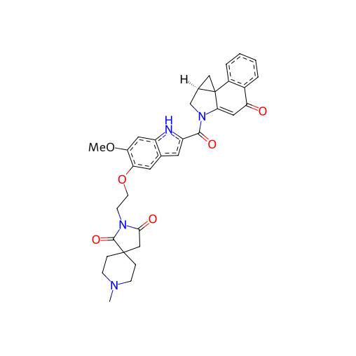 COc1cc2[nH]c(C(=O)N3C[C@H]4CC45C3=CC(=O)c3ccccc35)cc2cc1OCCN1C(=O)CC2(CCN(C)CC2)C1=O